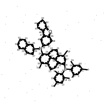 Cc1cc(C)c(B(c2c(C)cc(C)cc2C)c2cc(C)c3ccc4c(N(c5ccc6ccccc6c5)c5ccc6oc7ccccc7c6c5)cc(C)c5ccc2c3c54)c(C)c1